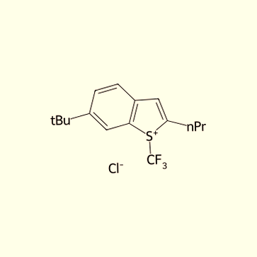 CCCc1cc2ccc(C(C)(C)C)cc2[s+]1C(F)(F)F.[Cl-]